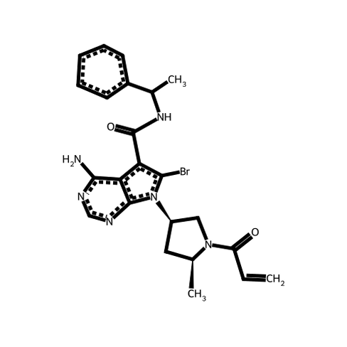 C=CC(=O)N1C[C@H](n2c(Br)c(C(=O)NC(C)c3ccccc3)c3c(N)ncnc32)C[C@@H]1C